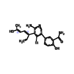 C=C/C(=C\C=C(/C)O)c1c(N)ncc(-c2ccc(O)c(C(N)=O)c2)c1CC